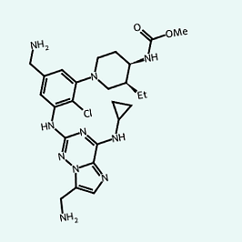 CC[C@H]1CN(c2cc(CN)cc(Nc3nc(NC4CC4)c4ncc(CN)n4n3)c2Cl)CC[C@H]1NC(=O)OC